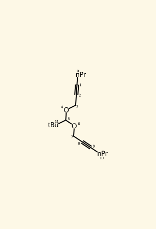 CCCC#CCOC(OCC#CCCC)C(C)(C)C